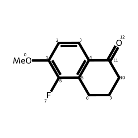 COc1ccc2c(c1F)CCCC2=O